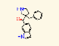 O=C(c1ccc2cc[nH]c2c1)C1(Cc2ccccc2)CCNC1